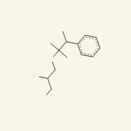 CC(c1ccccc1)C(C)(C)SCC(O)CO